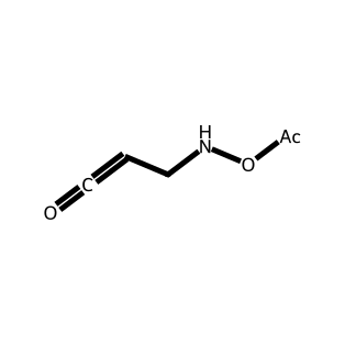 CC(=O)ONCC=C=O